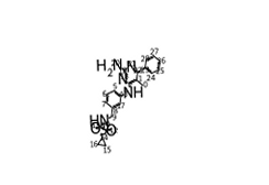 Cc1c(Nc2cccc(CNS(=O)(=O)C3CC3)c2)nc(N)nc1-c1ccccc1